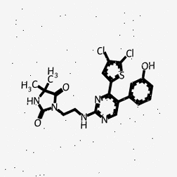 CC1(C)NC(=O)N(CCNc2ncc(-c3cccc(O)c3)c(-c3cc(Cl)c(Cl)s3)n2)C1=O